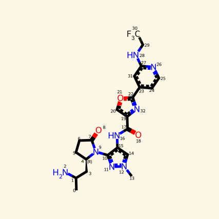 CC(N)C[C@H]1CCC(=O)N1c1nn(C)cc1NC(=O)c1coc(-c2ccnc(NCC(F)(F)F)c2)n1